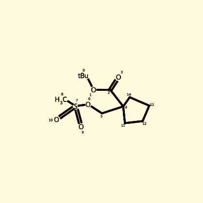 CC(C)(C)OC(=O)C1(COS(C)(=O)=O)CCCC1